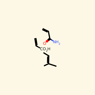 C=CC(=O)O.C=CC(N)=O.CC=C(C)C